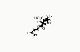 CCN(CC)CCOC(=O)C(C)(CC)C(C(=O)O)C(C)(OC(C)=O)C(C)(C)C